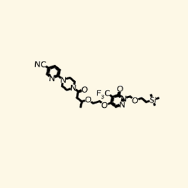 CC(CC(=O)N1CCN(c2ccc(C#N)cn2)CC1)OCCOc1cnn(COCC[Si](C)(C)C)c(=O)c1C(F)(F)F